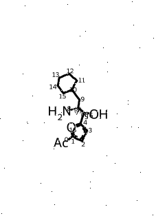 CC(=O)c1ccc([C@H](O)[C@@H](N)CC2CCCCC2)o1